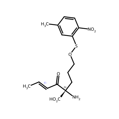 C/C=C/C(=O)[C@@](N)(CCCOSc1cc(C)ccc1[N+](=O)[O-])C(=O)O